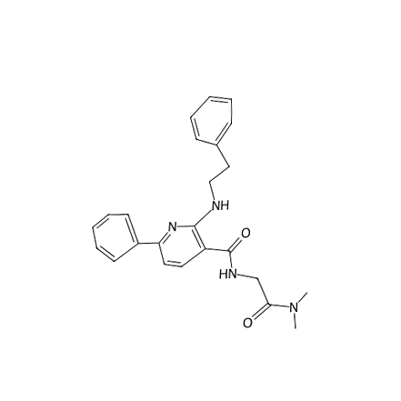 CN(C)C(=O)CNC(=O)c1ccc(-c2ccccc2)nc1NCCc1ccccc1